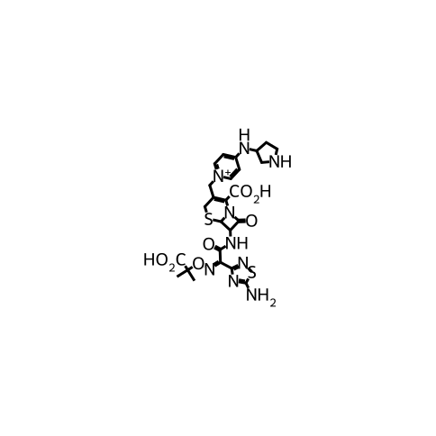 CC(C)(O/N=C(\C(=O)NC1C(=O)N2C(C(=O)O)=C(C[n+]3ccc(NC4CCNC4)cc3)CSC12)c1nsc(N)n1)C(=O)O